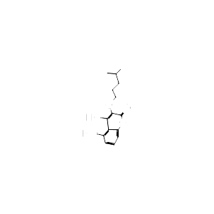 CC(C)CCCOc1c(O)c2c(O)cccc2oc1=O